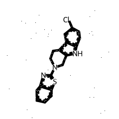 Clc1ccc2[nH]c3c(c2c1)CCN(c1nc2ccccc2s1)C3